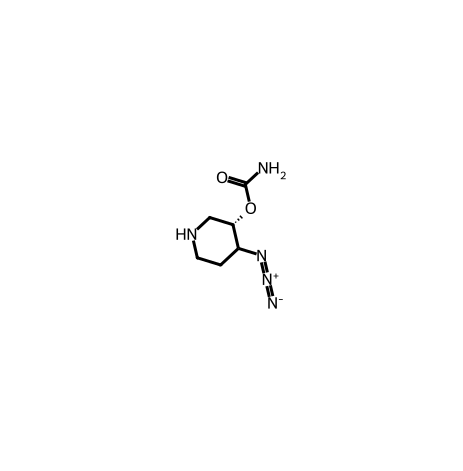 [N-]=[N+]=NC1CCNC[C@@H]1OC(N)=O